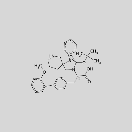 COc1ccccc1-c1ccc(C[C@@H](C(=O)O)N(CC2(Sc3ccccc3)CCCNC2)C(=O)OC(C)(C)C)cc1